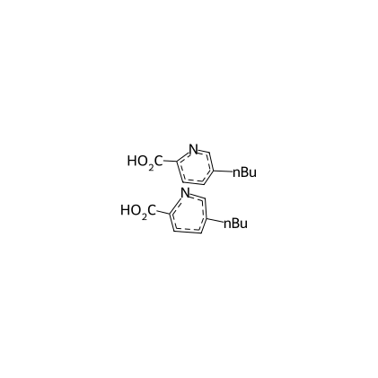 CCCCc1ccc(C(=O)O)nc1.CCCCc1ccc(C(=O)O)nc1